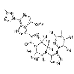 [2H]c1nc(-n2nnnc2N2C([2H])([2H])C([2H])([2H])N(C(=O)C(=O)c3c[nH]c4c(-n5cnc(C)n5)ncc(OC)c34)C([2H])([2H])C2([2H])[2H])c([2H])c([2H])c1C